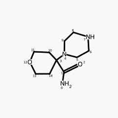 NC(=O)C1(N2CCNCC2)CCOCC1